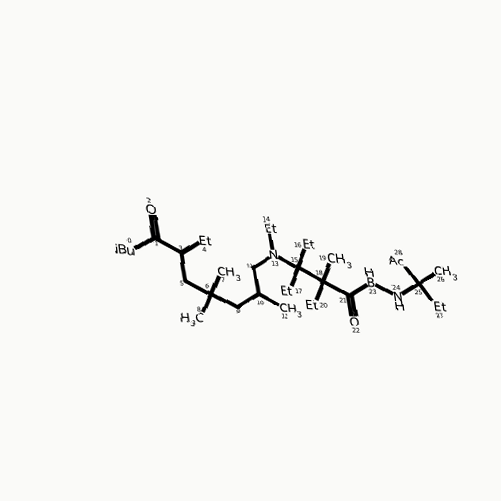 CCC(C)C(=O)C(CC)CC(C)(C)CC(C)CN(CC)C(CC)(CC)C(C)(CC)C(=O)BNC(C)(CC)C(C)=O